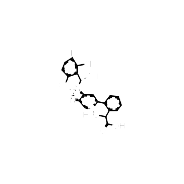 CC(C(=O)O)c1ccccc1-c1cc2c(cn1)nnn2[C@H](C)c1c(Cl)ccc(F)c1Cl